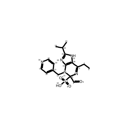 CCC1=NC(C=O)(S(=O)(=O)O)N(Cc2ccncc2)c2nc(C(C)C)[nH]c21